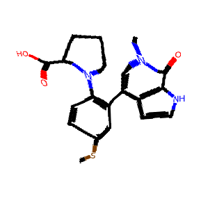 CSc1ccc(N2CCCC2C(=O)O)c(-c2cn(C)c(=O)c3[nH]ccc23)c1